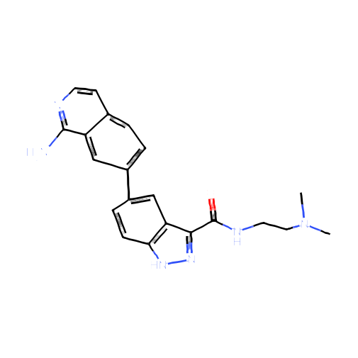 CN(C)CCNC(=O)c1n[nH]c2ccc(-c3ccc4ccnc(N)c4c3)cc12